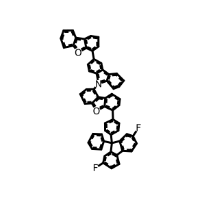 Fc1ccc2c(c1)C(c1ccccc1)(c1ccc(-c3cccc4c3oc3cccc(-n5c6ccccc6c6cc(-c7cccc8c7oc7ccccc78)ccc65)c34)cc1)c1cc(F)ccc1-2